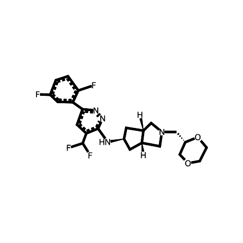 Fc1ccc(F)c(-c2cc(C(F)F)c(N[C@H]3C[C@@H]4CN(C[C@H]5COCCO5)C[C@@H]4C3)nn2)c1